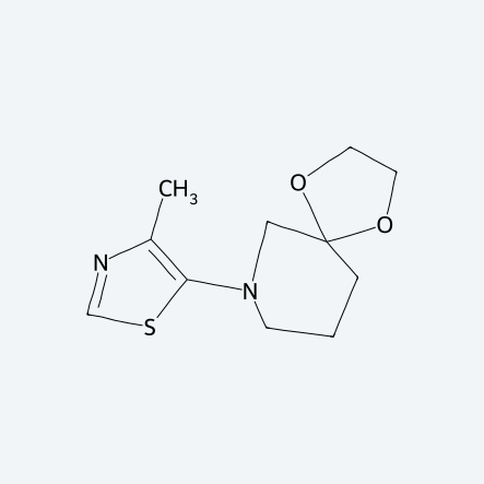 Cc1ncsc1N1CCCC2(C1)OCCO2